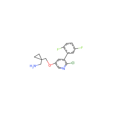 NCC1(COc2cnc(Cl)c(-c3cc(F)ccc3F)c2)CC1